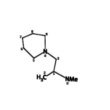 CNC(C)CN1CCCCC1